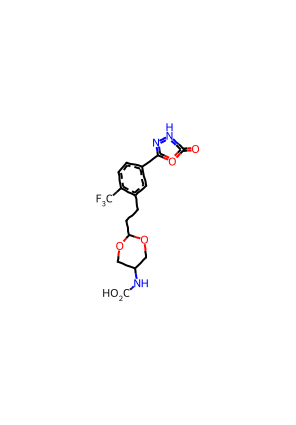 O=C(O)NC1COC(CCc2cc(-c3n[nH]c(=O)o3)ccc2C(F)(F)F)OC1